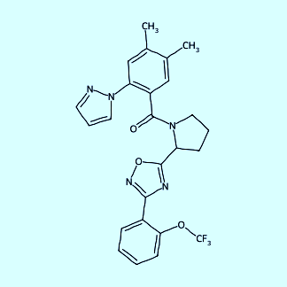 Cc1cc(C(=O)N2CCCC2c2nc(-c3ccccc3OC(F)(F)F)no2)c(-n2cccn2)cc1C